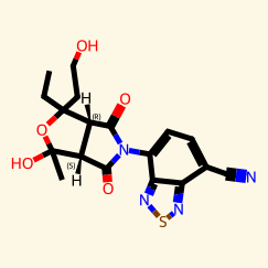 CCC1(CCO)OC(C)(O)[C@H]2C(=O)N(c3ccc(C#N)c4nsnc34)C(=O)[C@H]21